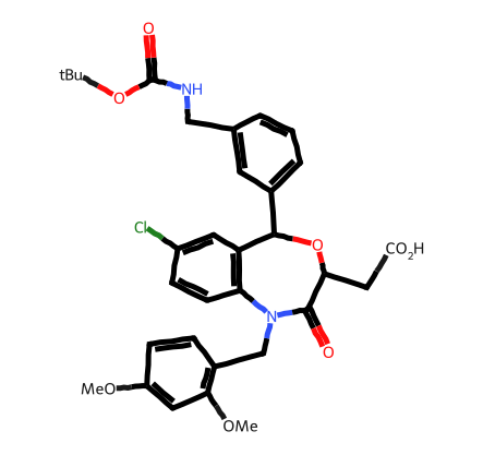 COc1ccc(CN2C(=O)C(CC(=O)O)OC(c3cccc(CNC(=O)OC(C)(C)C)c3)c3cc(Cl)ccc32)c(OC)c1